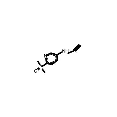 C#CCNc1ccc(P(C)(C)=O)nc1